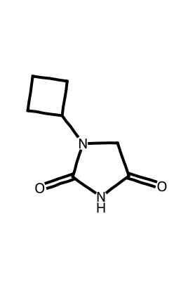 O=C1CN(C2CCC2)C(=O)N1